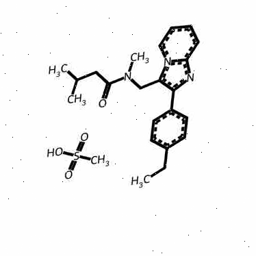 CCc1ccc(-c2nc3ccccn3c2CN(C)C(=O)CC(C)C)cc1.CS(=O)(=O)O